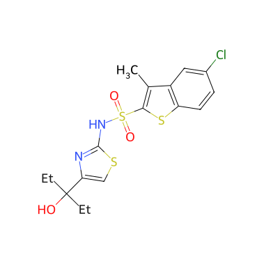 CCC(O)(CC)c1csc(NS(=O)(=O)c2sc3ccc(Cl)cc3c2C)n1